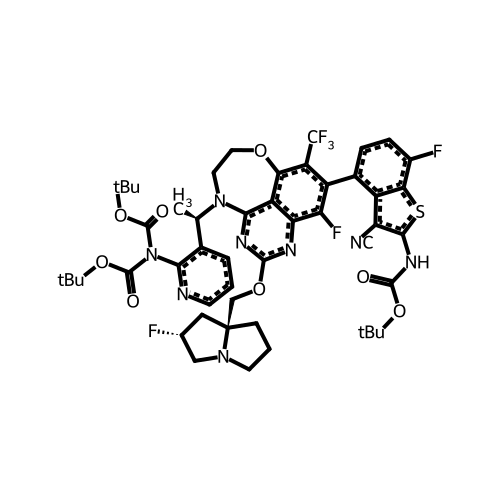 C[C@H](c1cccnc1N(C(=O)OC(C)(C)C)C(=O)OC(C)(C)C)N1CCOc2c(C(F)(F)F)c(-c3ccc(F)c4sc(NC(=O)OC(C)(C)C)c(C#N)c34)c(F)c3nc(OC[C@@]45CCCN4C[C@H](F)C5)nc1c23